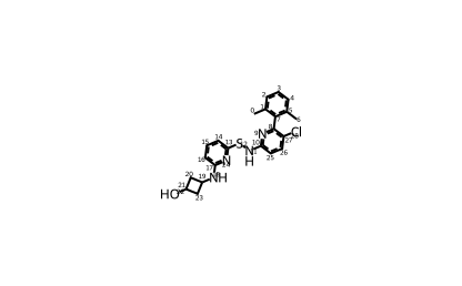 Cc1cccc(C)c1-c1nc(NSc2cccc(NC3CC(O)C3)n2)ccc1Cl